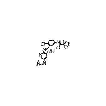 CN(C)/C=N\c1cnc2nc(-c3cc(NC(=O)c4ccco4)ccc3Cl)[nH]c2c1